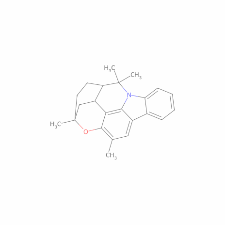 Cc1cc2c3ccccc3n3c2c2c1OC1(C)CCC(C2C1)C3(C)C